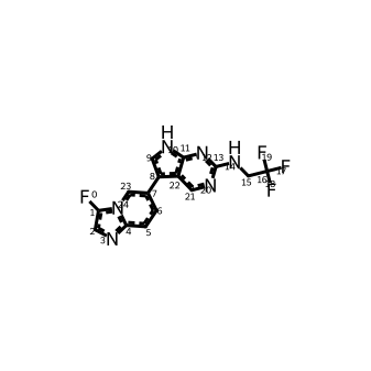 Fc1cnc2ccc(-c3c[nH]c4nc(NCC(F)(F)F)ncc34)cn12